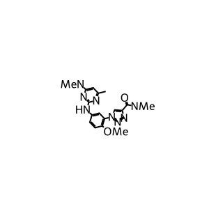 CNC(=O)c1cn(-c2cc(Nc3nc(C)cc(NC)n3)ccc2OC)nn1